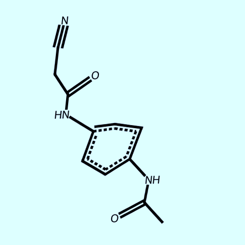 CC(=O)Nc1ccc(NC(=O)CC#N)cc1